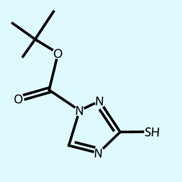 CC(C)(C)OC(=O)n1cnc(S)n1